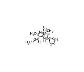 CCOC(=O)c1c(C)nn2c1NC(c1cccc(F)c1)CC2(C)C